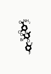 Cc1cc(OCc2ccc(F)cc2F)c(Br)c(=O)n1-c1ccc(C(N)=O)cc1Cl